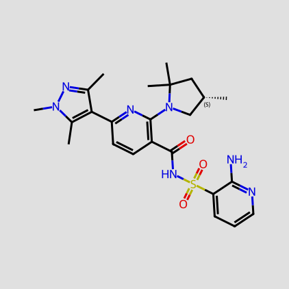 Cc1nn(C)c(C)c1-c1ccc(C(=O)NS(=O)(=O)c2cccnc2N)c(N2C[C@@H](C)CC2(C)C)n1